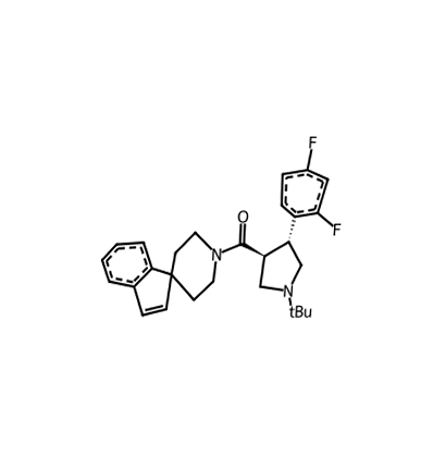 CC(C)(C)N1C[C@@H](C(=O)N2CCC3(C=Cc4ccccc43)CC2)[C@H](c2ccc(F)cc2F)C1